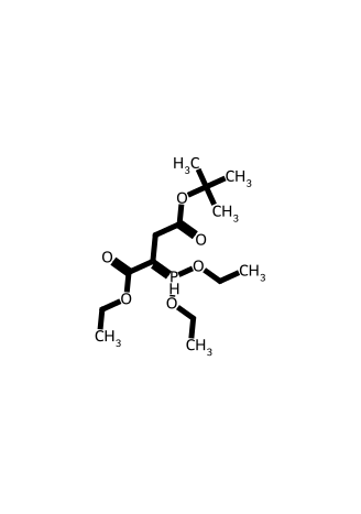 CCOC(=O)C(CC(=O)OC(C)(C)C)=[PH](OCC)OCC